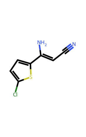 N#CC=C(N)c1ccc(Cl)s1